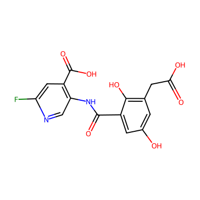 O=C(O)Cc1cc(O)cc(C(=O)Nc2cnc(F)cc2C(=O)O)c1O